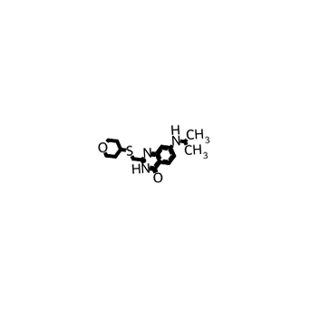 CC(C)Nc1ccc2c(=O)[nH]c(CSC3CCOCC3)nc2c1